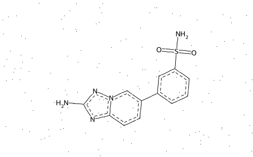 Nc1nc2ccc(-c3cccc(S(N)(=O)=O)c3)cn2n1